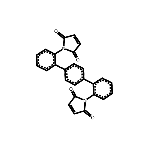 O=C1C=CC(=O)N1c1ccccc1-c1ccc(-c2ccccc2N2C(=O)C=CC2=O)cc1